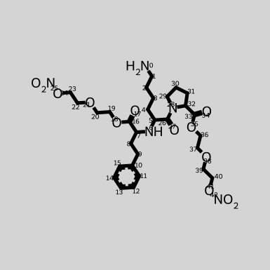 NCCCCC(NC(CCc1ccccc1)C(=O)OCCOCCO[N+](=O)[O-])C(=O)N1CCCC1C(=O)OCCOCCO[N+](=O)[O-]